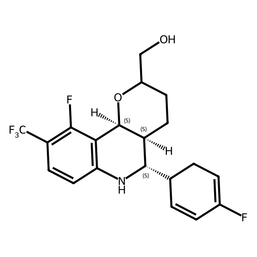 OCC1CC[C@@H]2[C@H](O1)c1c(ccc(C(F)(F)F)c1F)N[C@H]2C1C=CC(F)=CC1